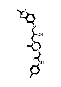 Cc1ccc(NC(=O)CN2CCN(CC(O)COc3ccc4sc(C)nc4c3)C(C)C2)cc1